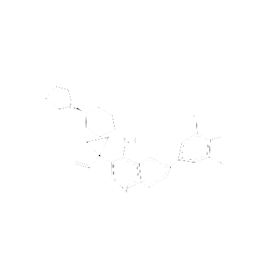 O=CC1(c2cnc3ccc(-c4cc(F)c(O)c(Cl)c4)cc3c2N[C@H]2CC[C@H](N3CCCC3)CC2)CC1